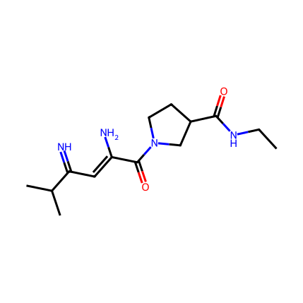 CCNC(=O)C1CCN(C(=O)/C(N)=C/C(=N)C(C)C)C1